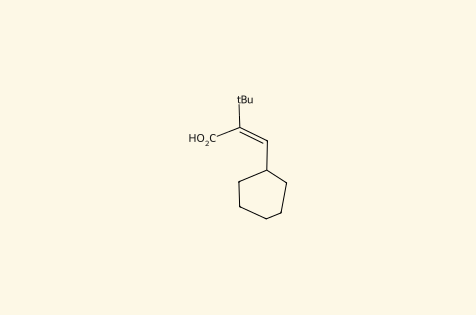 CC(C)(C)/C(=C/C1CCCCC1)C(=O)O